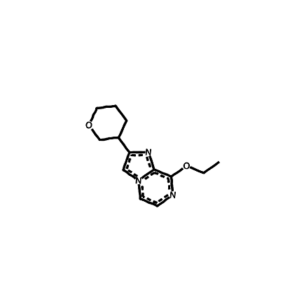 CCOc1nccn2cc(C3CCCOC3)nc12